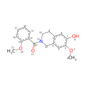 COc1cc2c(cc1O)CCN(C(=O)c1ccccc1OC)C2